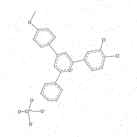 COc1ccc(-c2cc(-c3ccccc3)[o+]c(-c3ccc(Cl)c(Cl)c3)c2)cc1.[O-][Cl+3]([O-])([O-])[O-]